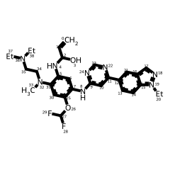 C=CC(O)Nc1cc(Nc2cc(-c3ccc4c(cnn4CC)c3)ncn2)c(OC(F)F)cc1N(C)CCN(CC)CC